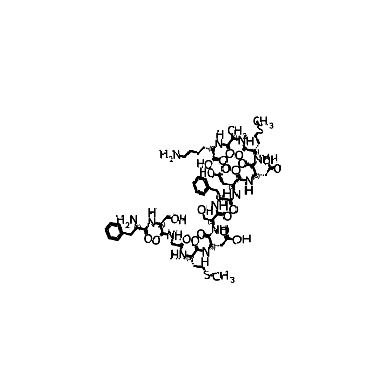 CSCC[C@H](NC(=O)CNC(=O)[C@H](CO)NC(=O)[C@@H](N)Cc1ccccc1)C(=O)N[C@@H](CC(=O)O)C(=O)N[C@@H](CO)C(=O)N[C@@H](Cc1ccccc1)C(=O)N[C@@H](CC(=O)O)C(=O)N[C@@H](CC(=O)O)C(=O)N[C@@H](CCSC)C(=O)N[C@@H](C)C(=O)N[C@@H](CCCCN)C(=O)O